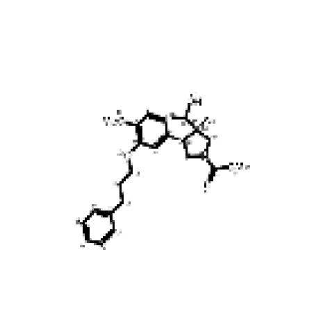 COC(=O)N1C[C@@H](c2ccc(OC)c(OCCCc3ccccc3)c2)[C@](C)(C(C)O)C1